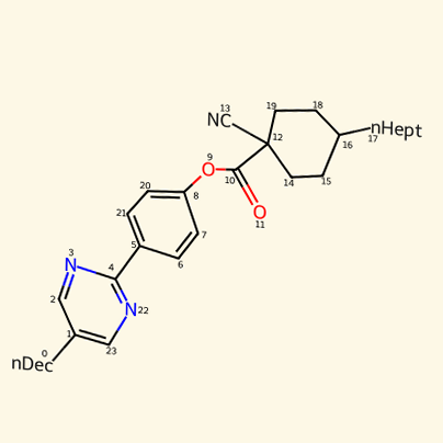 CCCCCCCCCCc1cnc(-c2ccc(OC(=O)C3(C#N)CCC(CCCCCCC)CC3)cc2)nc1